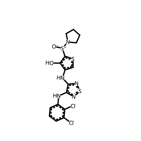 [O-][S+](c1scc(Nc2nsnc2Nc2cccc(Cl)c2Cl)c1O)N1CCCC1